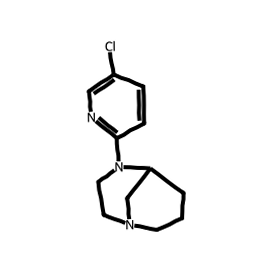 Clc1ccc(N2CCN3CCCC2C3)nc1